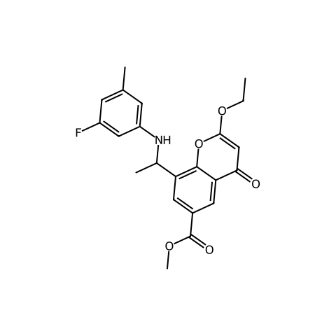 CCOc1cc(=O)c2cc(C(=O)OC)cc(C(C)Nc3cc(C)cc(F)c3)c2o1